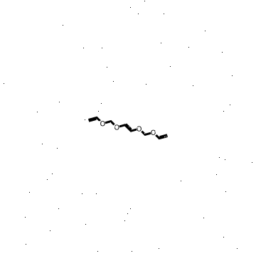 C=COCOC=COCOC=C